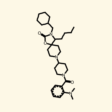 CCCCC1N(CC2CCCCC2)C(=O)OC12CCN(C1CCN(C(=O)c3ccccc3N(C)C)CC1)CC2